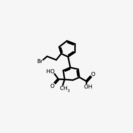 CC1(C(=O)O)C=C(c2ccccc2CCBr)C=C(C(=O)O)C1